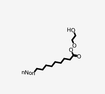 CCCCCCCCCCCCCCCCCC(=O)OOCCO